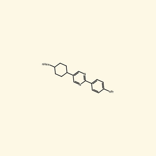 CCCCCCC1CCC(c2cnc(-c3ccc(CCC)cc3)nc2)CC1